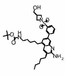 CCCCCc1cc2c(CCCCCNC(=O)OC(C)(C)C)cc(-c3cccc(S(=O)(=O)N4CC(CO)C4)c3)cc2nc1N